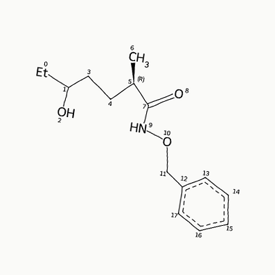 CCC(O)CC[C@@H](C)C(=O)NOCc1ccccc1